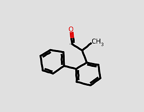 CC([C]=O)c1ccccc1-c1ccccc1